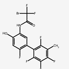 Cc1c(F)c(F)c(F)c(-c2cc(NC(=O)C(F)(F)Br)c(O)cc2F)c1F